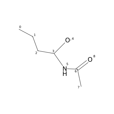 CCCC([O])NC(C)=O